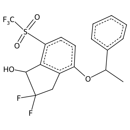 CC(Oc1ccc(S(=O)(=O)C(F)(F)F)c2c1CC(F)(F)C2O)c1ccccc1